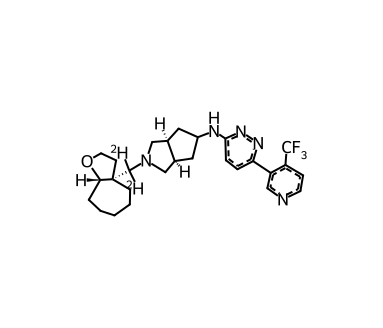 [2H]C([2H])(N1C[C@H]2CC(Nc3ccc(-c4cnccc4C(F)(F)F)nn3)C[C@H]2C1)[C@]12CCCCC[C@@H]1OCC2